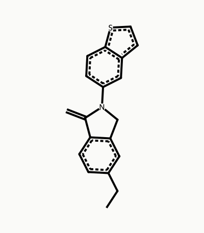 C=C1c2ccc(CC)cc2CN1c1ccc2sccc2c1